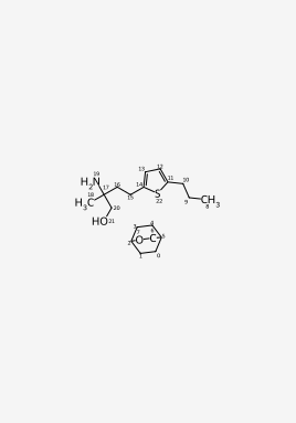 C1CC2CCC1CO2.CCCc1ccc(CCC(C)(N)CO)s1